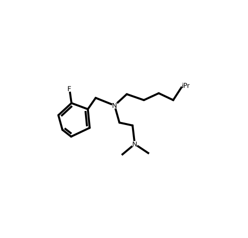 CC(C)CCCCN(CCN(C)C)Cc1ccccc1F